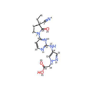 CCC1(C#N)CCN(c2ccnc(Nc3cnn(CC(=O)O)c3)n2)C1=O